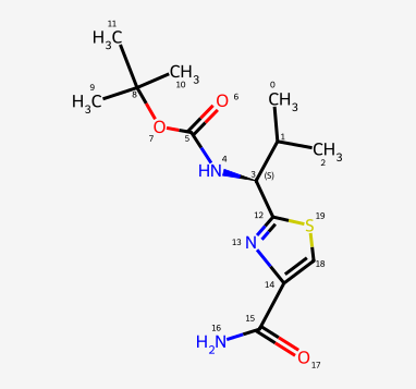 CC(C)[C@H](NC(=O)OC(C)(C)C)c1nc(C(N)=O)cs1